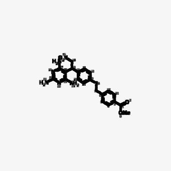 COC(=O)c1ccc(CSc2ccc(C(C[N+](=O)[O-])c3c(N)nc(N)nc3N)cc2)cc1